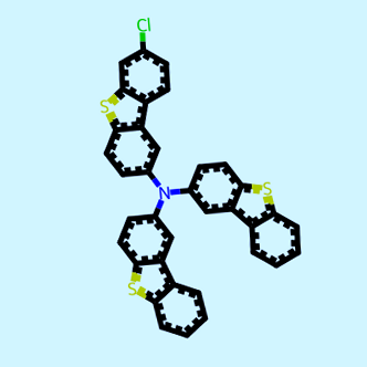 Clc1ccc2c(c1)sc1ccc(N(c3ccc4sc5ccccc5c4c3)c3ccc4sc5ccccc5c4c3)cc12